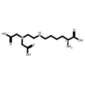 N[C@@H](CCCCNCCN(CC(=O)O)CC(=O)O)C(=O)O